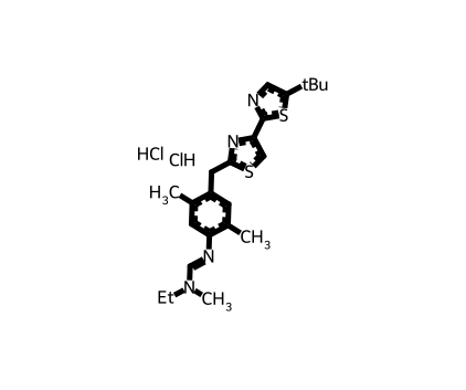 CCN(C)C=Nc1cc(C)c(Cc2nc(-c3ncc(C(C)(C)C)s3)cs2)cc1C.Cl.Cl